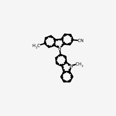 Cc1ccc2c3ccc(C#N)cc3n(-c3ccc4c5ccccc5n(C)c4c3)c2c1